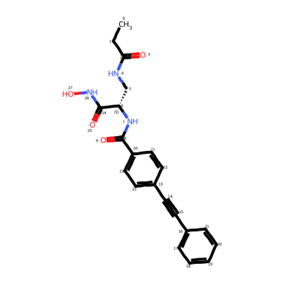 CCC(=O)NC[C@H](NC(=O)c1ccc(C#Cc2ccccc2)cc1)C(=O)NO